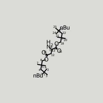 CCCCC(C)(C)CC(C)(C)COC(=O)C[C@@H](N)C(=O)OCC(C)(C)CC(C)(C)CCCC